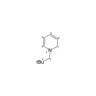 CC(C)(C)CN1C=CC=CC1